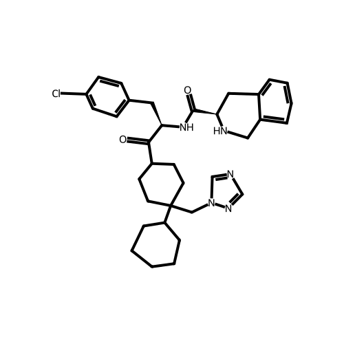 O=C(N[C@H](Cc1ccc(Cl)cc1)C(=O)C1CCC(Cn2cncn2)(C2CCCCC2)CC1)[C@H]1Cc2ccccc2CN1